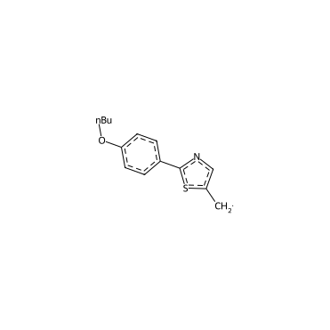 [CH2]c1cnc(-c2ccc(OCCCC)cc2)s1